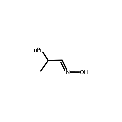 CCCC(C)C=NO